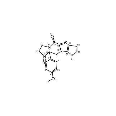 COc1ccc(C23Cn4c(cc5ccsc54)C(=O)N2CCN3)cc1